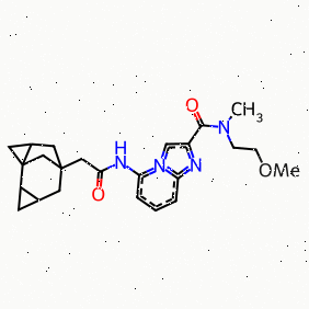 COCCN(C)C(=O)c1cn2c(NC(=O)CC34CC5CC5C5(CC5C3)C4)cccc2n1